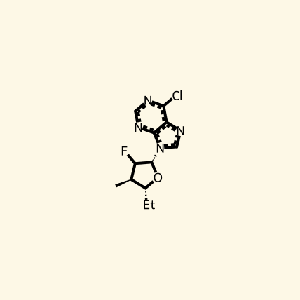 CC[C@H]1O[C@@H](n2cnc3c(Cl)ncnc32)C(F)[C@@H]1C